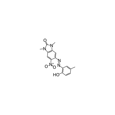 Cc1ccc(O)c(N=Nc2cc3c(cc2[N+](=O)[O-])n(C)c(=O)n3C)c1